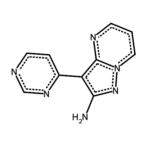 Nc1nn2cccnc2c1-c1ccncn1